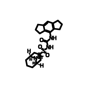 CC(C)N1[C@@H]2CCC[C@H]1C[C@@H](S(=O)(=O)NC(=O)Nc1c3c(cc4c1CCC4)CCC3)C2